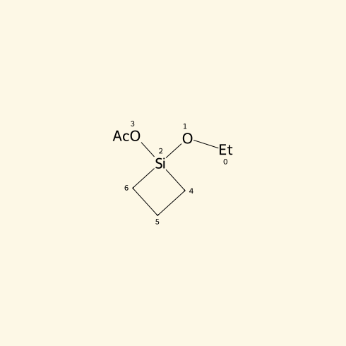 CCO[Si]1(OC(C)=O)CCC1